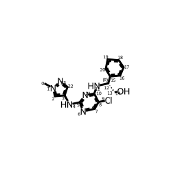 Cn1cc(Nc2ncc(Cl)c(N[C@@H](CO)c3ccccc3)n2)cn1